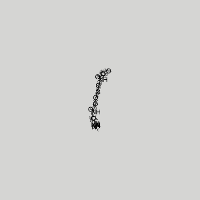 Cc1nnc(-c2ccc(CNC(=O)CCOCCOCCOCCOCCNC(=O)c3ccc(C=O)cc3)cc2)nn1